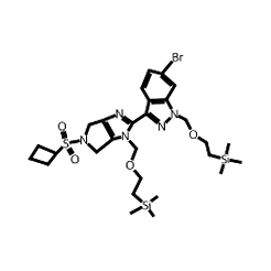 C[Si](C)(C)CCOCn1c(-c2nn(COCC[Si](C)(C)C)c3cc(Br)ccc23)nc2c1CN(S(=O)(=O)C1CCC1)C2